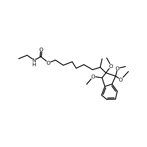 CCNC(=O)OCCCCCCC(C)C1(OC)C(OC)c2ccccc2C1(OC)OC